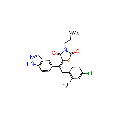 CNCCN1C(=O)SC(=C(Cc2ccc(Cl)cc2C(F)(F)F)c2ccc3[nH]ncc3c2)C1=O